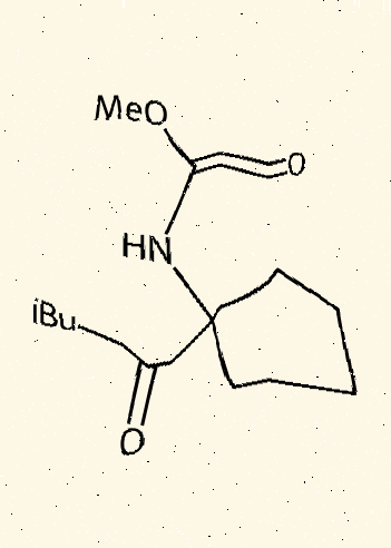 CCC(C)C(=O)C1(NC(=O)OC)CCCC1